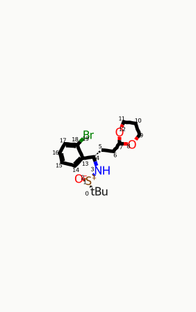 CC(C)(C)[S@@+]([O-])N[C@@H](CCC1OCCCO1)c1ccccc1Br